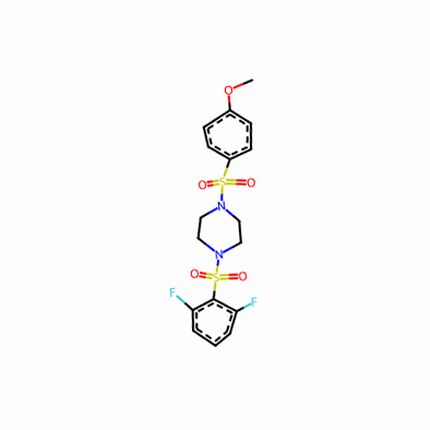 COc1ccc(S(=O)(=O)N2CCN(S(=O)(=O)c3c(F)cccc3F)CC2)cc1